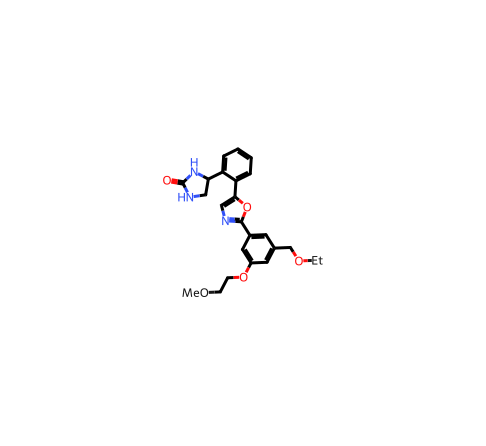 CCOCc1cc(OCCOC)cc(-c2ncc(-c3ccccc3C3CNC(=O)N3)o2)c1